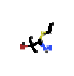 C=CSC(=N)C(C)(C)Br